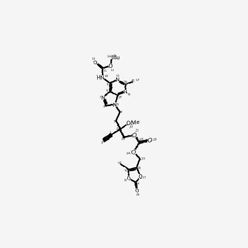 C#CC(CCn1cnc2c(NC(=O)OC(C)(C)C)nc(F)nc21)(COC(=O)OCc1oc(=O)oc1C)OC